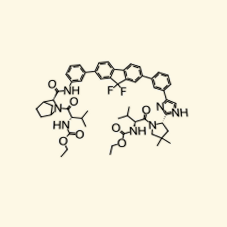 CCOC(=O)N[C@H](C(=O)N1CC(C)(C)C[C@H]1c1nc(-c2cccc(-c3ccc4c(c3)C(F)(F)c3cc(-c5cccc(NC(=O)[C@@H]6C7CCC(C7)N6C(=O)[C@@H](NC(=O)OCC)C(C)C)c5)ccc3-4)c2)c[nH]1)C(C)C